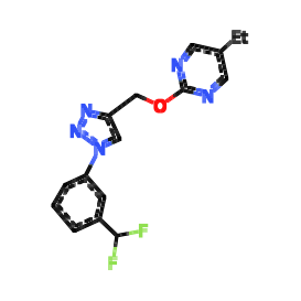 CCc1cnc(OCc2cn(-c3cccc(C(F)F)c3)nn2)nc1